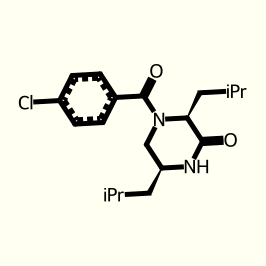 CC(C)C[C@H]1CN(C(=O)c2ccc(Cl)cc2)[C@@H](CC(C)C)C(=O)N1